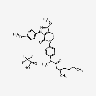 CCCCN(C)CC(=O)N(C)c1ccc(N2CCc3c(OC)nn(-c4ccc(OC)cc4)c3C2=O)cc1.O=C(O)C(F)(F)F